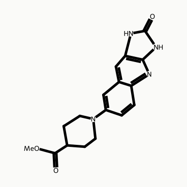 COC(=O)C1CCN(c2ccc3nc4[nH]c(=O)[nH]c4cc3c2)CC1